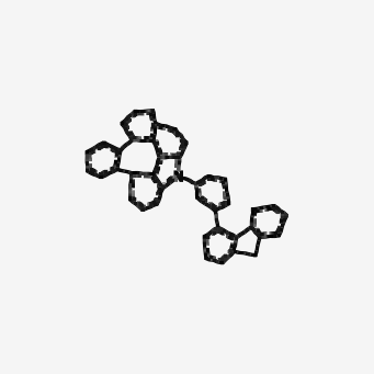 c1cc(-c2cccc3c2-c2ccccc2C3)cc(-n2c3cccc4c3c3c5c(cccc5ccc32)-c2ccccc2-4)c1